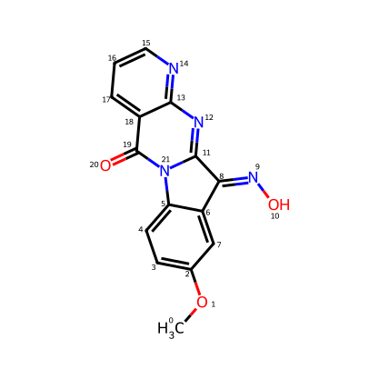 COc1ccc2c(c1)/C(=N\O)c1nc3ncccc3c(=O)n1-2